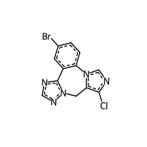 Clc1ncn2c1Cn1ncnc1-c1cc(Br)ccc1-2